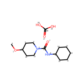 COC1CCN(C(=O)NC2CCCCC2)CC1.O=C(O)O